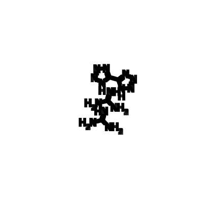 N=C(N)N.N=C(N)N.n1n[nH]c(-c2nnn[nH]2)n1